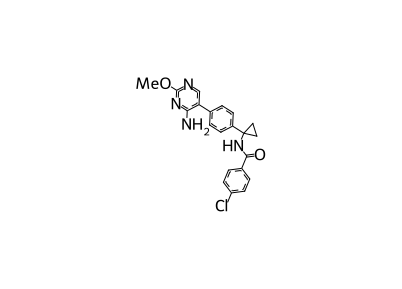 COc1ncc(-c2ccc(C3(NC(=O)c4ccc(Cl)cc4)CC3)cc2)c(N)n1